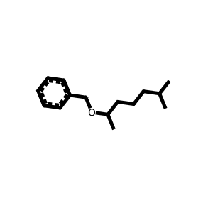 CC(C)CCCC(C)O[CH]c1ccccc1